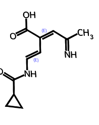 CC(=N)/C=C(\C=C\NC(=O)C1CC1)C(=O)O